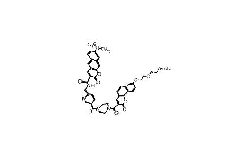 CCCCOCCOCCOc1ccc2c(ccc3cc(C(=O)N4CCN(C(=O)c5ccc(CNC(=O)c6cc7cc8ccc(N(C)C)cc8cc7oc6=O)nc5)CC4)c(=O)oc32)c1